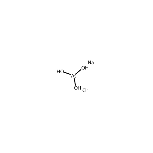 O[As](O)O.[Cl-].[Na+]